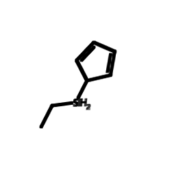 CC[SiH2]C1C=CC=C1